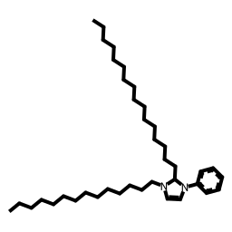 CCCCCCCCCCCCCCCCC1N(CCCCCCCCCCCCCC)C=CN1c1ccccc1